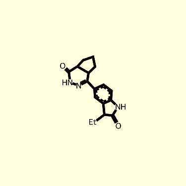 CCC1C(=O)Nc2ccc(C3=NNC(=O)C4CCCC34)cc21